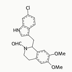 COc1cc2c(cc1OC)C(Cc1c[nH]c3cc(Cl)ccc13)N(C=O)CC2